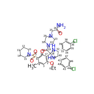 CCOc1cc(C)c(S(=O)(=O)N2CCCCC2)cc1C1(C(=O)N2CCN(CC(N)=O)CC2)N[C@H](c2ccc(Cl)cc2)[C@H](c2ccc(Cl)cc2)N1